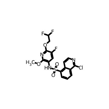 COc1nc(OCC(F)F)c(F)cc1NS(=O)(=O)c1cccc2c(Cl)nccc12